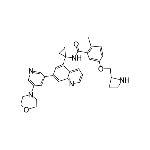 Cc1ccc(OC[C@@H]2CCN2)cc1C(=O)NC1(c2cc(-c3cncc(N4CCOCC4)c3)cc3ncccc23)CC1